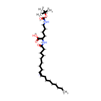 CCCCCCCC/C=C\CCCCCCCC(=O)NC(CCCCNC(=O)OC(C)(C)C)C(=O)O